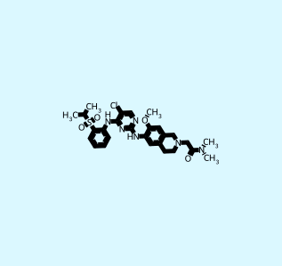 COc1cc2c(cc1Nc1ncc(Cl)c(Nc3ccccc3S(=O)(=O)C(C)C)n1)CCN(CC(=O)N(C)C)C2